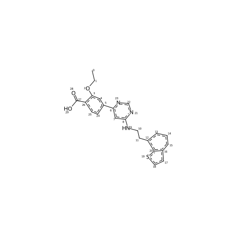 CCOc1cc(-c2cc(NCCc3cccc4ccsc34)ncn2)ccc1C(=O)O